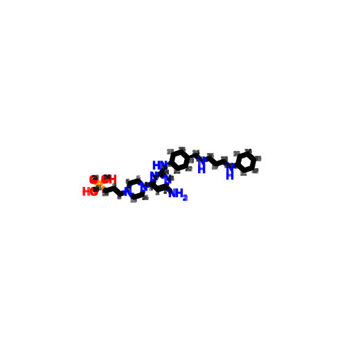 Nc1cc(N2CCN(CCCP(=O)(O)O)CC2)nc(N[C@H]2CC[C@H](CNCCCNC3CCCCC3)CC2)n1